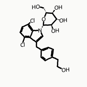 OCCc1ccc(Cc2cn([C@@H]3O[C@H](CO)[C@@H](O)[C@H](O)[C@H]3O)c3c(Cl)ccc(Cl)c23)cc1